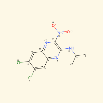 CC(C)Nc1nc2cc(Cl)c(Cl)cc2nc1[N+](=O)[O-]